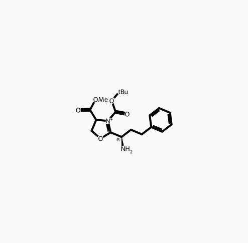 COC(=O)C1COC([C@H](N)CCc2ccccc2)=[N+]1C(=O)OC(C)(C)C